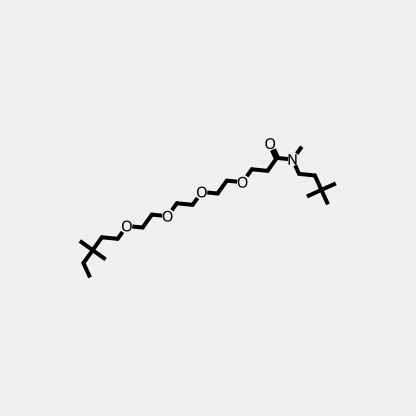 CCC(C)(C)CCOCCOCCOCCOCCC(=O)N(C)CCC(C)(C)C